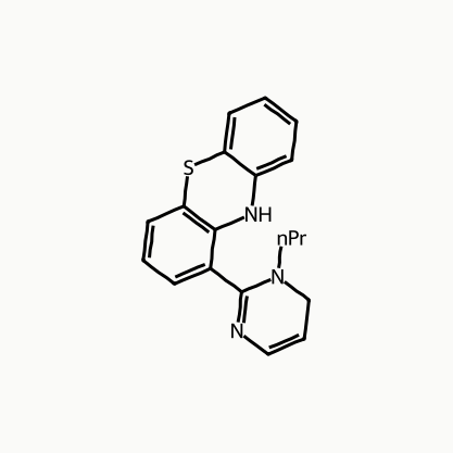 CCCN1CC=CN=C1c1cccc2c1Nc1ccccc1S2